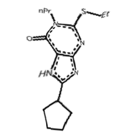 CCCn1c(SCC)nc2nc(C3CCCC3)[nH]c2c1=O